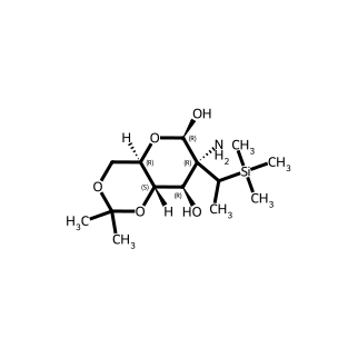 CC([C@]1(N)[C@H](O)O[C@@H]2COC(C)(C)O[C@H]2[C@@H]1O)[Si](C)(C)C